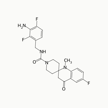 CN1c2ccc(F)cc2C(=O)CC12CCN(C(=O)NCc1ccc(F)c(N)c1F)CC2